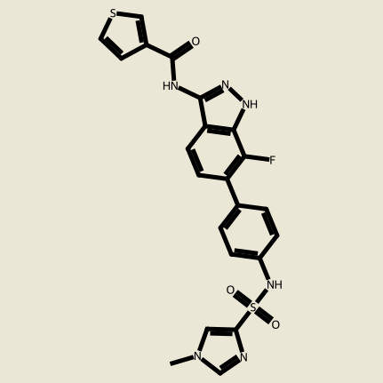 Cn1cnc(S(=O)(=O)Nc2ccc(-c3ccc4c(NC(=O)c5ccsc5)n[nH]c4c3F)cc2)c1